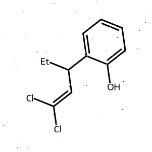 CCC(C=C(Cl)Cl)c1ccccc1O